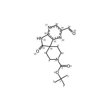 CC(C)(C)OC(=O)N1CCC2(CC1)C(=O)Nc1ncc(C=O)nc12